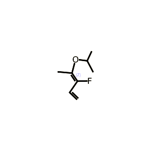 C=C/C(F)=C(\C)OC(C)C